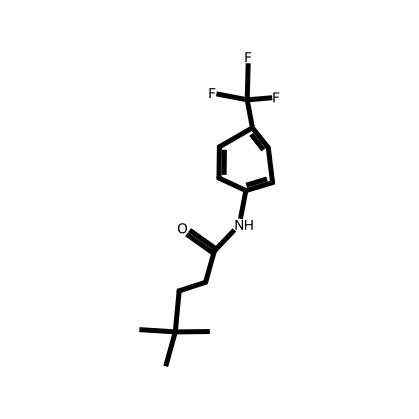 CC(C)(C)CCC(=O)Nc1ccc(C(F)(F)F)cc1